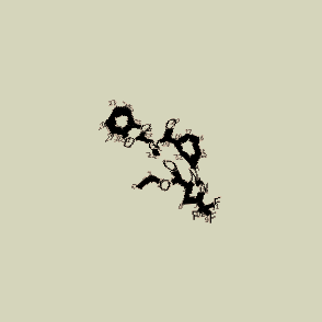 CCOC(=O)c1cc(C(F)(F)F)nn1-c1cccc(C(=O)N(C)C2Oc3ccccc3O2)c1